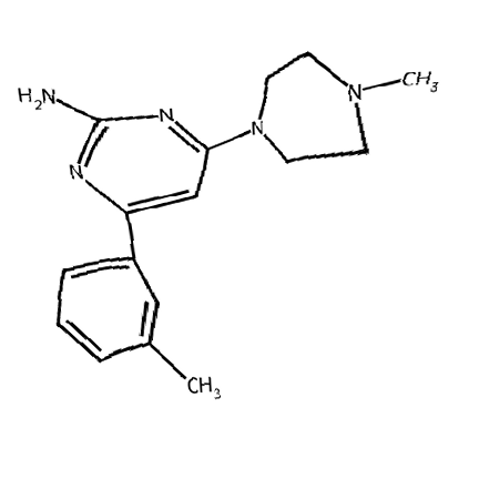 Cc1cccc(-c2cc(N3CCN(C)CC3)nc(N)n2)c1